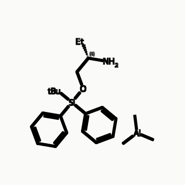 CC[C@H](N)CO[Si](c1ccccc1)(c1ccccc1)C(C)(C)C.[CH3][Al]([CH3])[CH3]